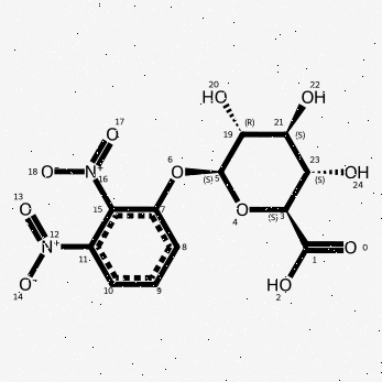 O=C(O)[C@H]1O[C@@H](Oc2cccc([N+](=O)[O-])c2[N+](=O)[O-])[C@H](O)[C@@H](O)[C@@H]1O